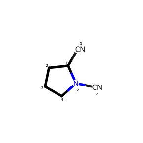 N#CC1CCCN1C#N